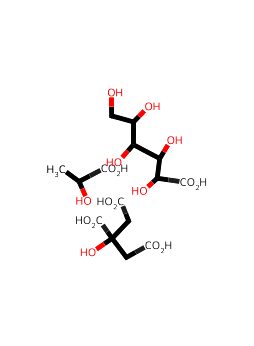 CC(O)C(=O)O.O=C(O)C(O)C(O)C(O)C(O)CO.O=C(O)CC(O)(CC(=O)O)C(=O)O